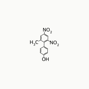 Cc1cc([N+](=O)[O-])cc([N+](=O)[O-])c1-c1ccc(O)cc1